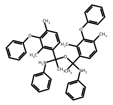 Cc1ccc(C(C)(OC(C)([SiH2]c2ccccc2)c2ccc(C)c(Oc3ccccc3)c2C)[SiH2]c2ccccc2)c(C)c1Oc1ccccc1